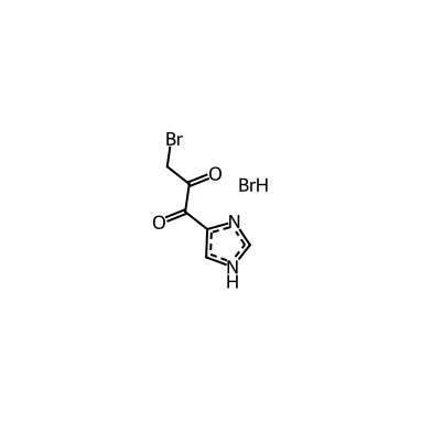 Br.O=C(CBr)C(=O)c1c[nH]cn1